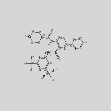 O=C(Nc1cc(C(F)(F)F)cc(C(F)(F)F)c1)c1cc(-c2ccccc2)ccc1OC(=O)N1CCOCC1